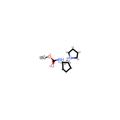 CC(C)(C)OC(=O)N[C@H]1CCC[C@H]1N1CCCC1